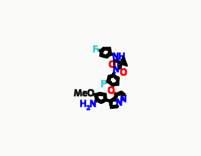 COc1ccc(-c2ccn3nccc(Oc4ccc(NC(=O)C5(C(=O)Nc6ccc(F)cc6)CC5)cc4F)c23)cc1N